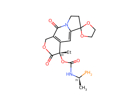 CC[C@@]1(OC(=O)N[C@H](C)P)C(=O)OCc2c1cc1n(c2=O)CCC12OCCO2